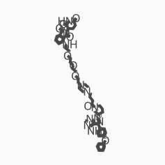 Nc1ncnc2c1c(-c1ccc(Oc3ccccc3)cc1)nn2[C@@H]1CCCN(C(=O)CCCN2CCN(CCOCCOCCOCCNc3cccc4c3C(=O)N(C3CCC(=O)NC3=O)C4=O)CC2)C1